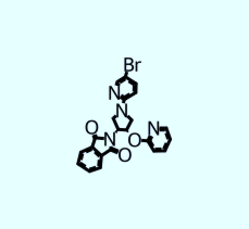 O=C1c2ccccc2C(=O)N1[C@H]1CN(c2ccc(Br)cn2)C[C@@H]1Oc1ccccn1